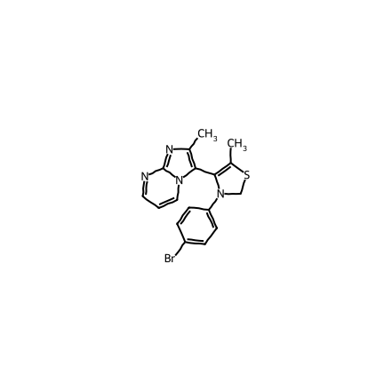 CC1=C(c2c(C)nc3ncccn23)N(c2ccc(Br)cc2)CS1